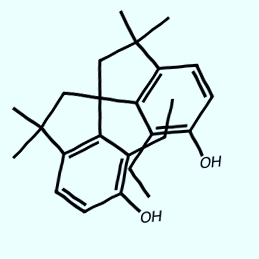 CCc1c(O)ccc2c1C1(CC2(C)C)CC(C)(C)c2ccc(O)c(CC)c21